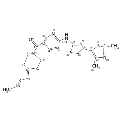 C/N=C/C=C1CCN(C(=O)c2ccc(Nc3nc(-c4sc(C)nc4C)cs3)nc2)CC1